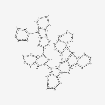 c1ccc(-n2c3ccccc3c3ccc(-c4nc(-n5c6ccccc6c6cc7c8ccccc8n8c9c%10ccccc%10ccc9c(c65)c78)nc5ccccc45)cc32)cc1